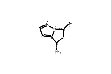 CC(C)C1CC(N)c2ccnn21